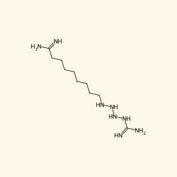 N=C(N)CCCCCCCCNNNNC(=N)N